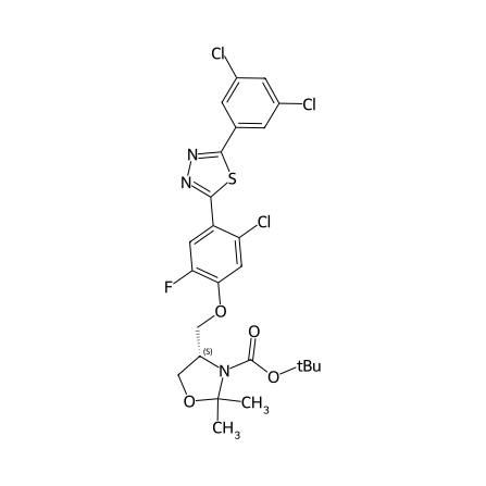 CC(C)(C)OC(=O)N1[C@@H](COc2cc(Cl)c(-c3nnc(-c4cc(Cl)cc(Cl)c4)s3)cc2F)COC1(C)C